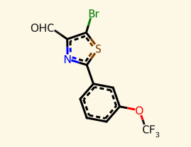 O=Cc1nc(-c2cccc(OC(F)(F)F)c2)sc1Br